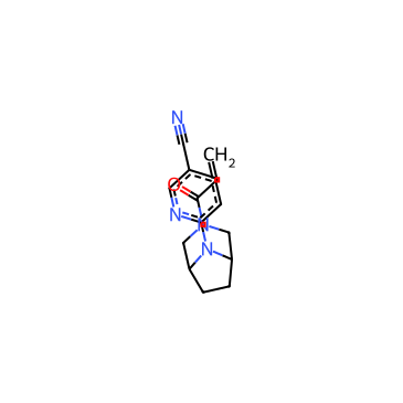 C=CC(=O)N1CC2CCC(C1)N2c1ccc(C#N)cn1